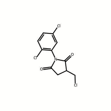 O=C1CC(CCl)C(=O)N1c1cc(Cl)ccc1Cl